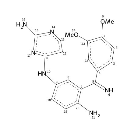 COc1ccc(C(=N)c2cc(Nc3ccnc(N)n3)ccc2N)cc1OC